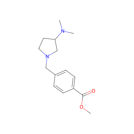 COC(=O)c1ccc(CN2CCC(N(C)C)C2)cc1